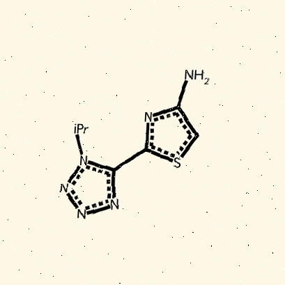 CC(C)n1nnnc1-c1nc(N)cs1